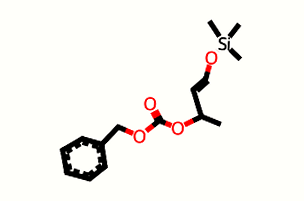 CC(C=CO[Si](C)(C)C)OC(=O)OCc1ccccc1